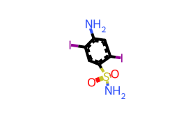 Nc1cc(I)c(S(N)(=O)=O)cc1I